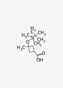 CC1(O[Si](C)(C)C(C)(C)C)CC(C(=O)O)C1